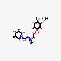 CC(C)N(CCOc1ccc(C(=O)O)cc1)CCN1CCCCC1